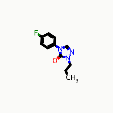 CCCn1ncn(-c2ccc(F)cc2)c1=O